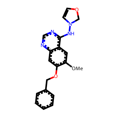 COc1cc2c(NN3C=COC3)ncnc2cc1OCc1c[c]ccc1